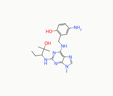 CCC(Nc1nc(NCc2cc(N)ccc2O)c2ncn(C)c2n1)C(C)(C)O